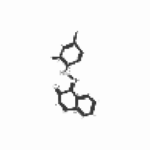 Cc1ccc(N/N=C2\C(=O)C=Cc3ccccc32)c(C)c1